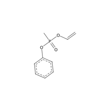 C=COP(C)(=O)Oc1ccccc1